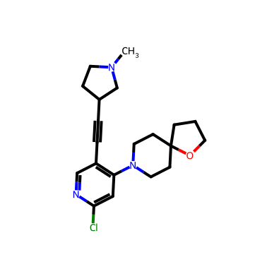 CN1CCC(C#Cc2cnc(Cl)cc2N2CCC3(CCCO3)CC2)C1